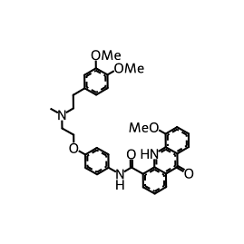 COc1ccc(CCN(C)CCOc2ccc(NC(=O)c3cccc4c(=O)c5cccc(OC)c5[nH]c34)cc2)cc1OC